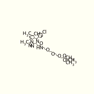 CC1=C(C)C2C(c3ccc(Cl)cc3)=N[C@@H](CC(=O)NCCOCCOCCOCC(=O)OC(C)(C)C)c3nnc(C)n3C2S1